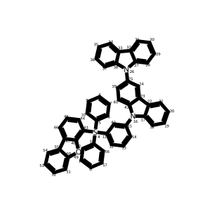 c1ccc(S(c2ccccc2)(c2cccc(-n3c4ccccc4c4cc(-n5c6ccccc6c6ccccc65)ccc43)c2)c2cccc3c2oc2ccccc23)cc1